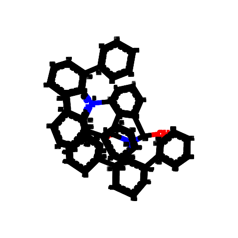 O=C1c2c(cccc2-n2c3c(-c4ccccc4)cccc3c3cccc(-c4ccccc4)c32)C(O)N1c1c(-c2ccccc2)cccc1-c1ccccc1